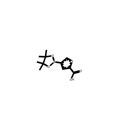 CC1(C)OB(c2csc(C(=O)O)c2)OC1(C)C